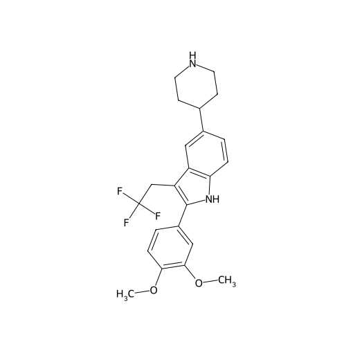 COc1ccc(-c2[nH]c3ccc(C4CCNCC4)cc3c2CC(F)(F)F)cc1OC